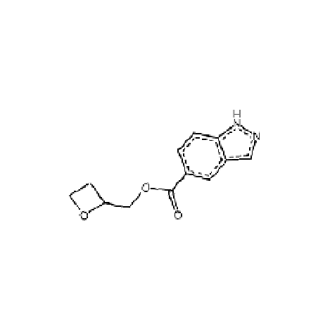 O=C(OCC1CCO1)c1ccc2[nH]ncc2c1